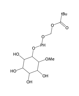 COC1C(O)C(O)C(O)C(O)C1OPOCOC(=O)C(C)(C)C